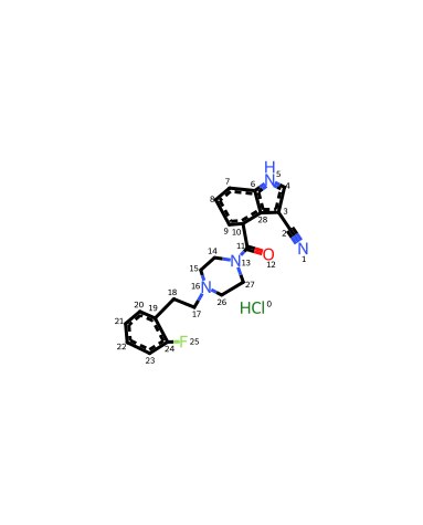 Cl.N#Cc1c[nH]c2cccc(C(=O)N3CCN(CCc4ccccc4F)CC3)c12